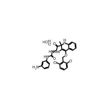 CNC1=C(OCc2c(Cl)cccc2Cl)c2ccccc2NC1(C)C(=O)CNC(=O)Nc1cccc(N)c1.Cl.Cl